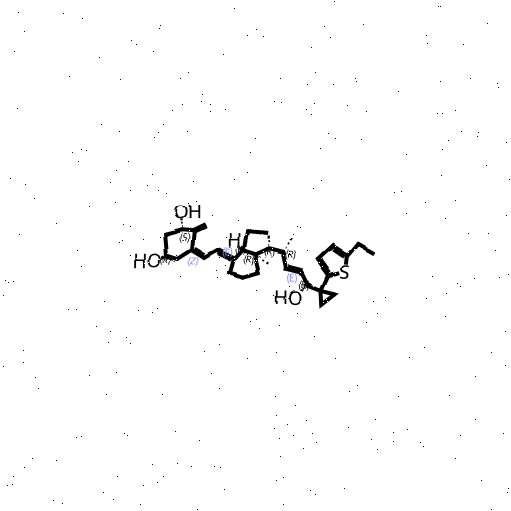 C=C1/C(=C\C=C2/CCC[C@]3(C)[C@@H]([C@H](C)/C=C/[C@@H](O)C4(c5ccc(CC)s5)CC4)CC[C@@H]23)C[C@@H](O)C[C@@H]1O